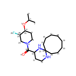 CC(C)O[C@H]1CCN(C(=O)C2CCNC3(CCCCCCCC3)N2)C[C@H]1F